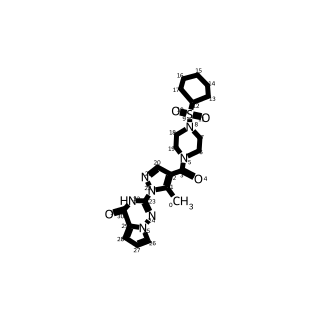 Cc1c(C(=O)N2CCN(S(=O)(=O)C3CCCCC3)CC2)cnn1-c1nn2cccc2c(=O)[nH]1